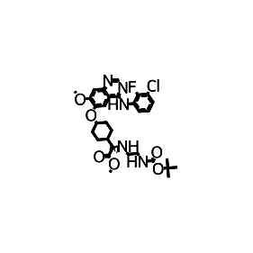 COC(=O)[C@H](NCCNC(=O)OC(C)(C)C)C1CCC(Oc2cc3c(Nc4cccc(Cl)c4F)ncnc3cc2OC)CC1